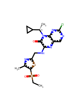 CCS(=O)(=O)c1sc(CNc2nc3cnc(Cl)nc3n([C@@H](C)C3CC3)c2=O)nc1C